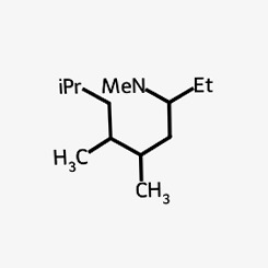 CCC(CC(C)C(C)CC(C)C)NC